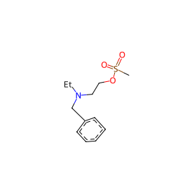 CCN(CCOS(C)(=O)=O)Cc1ccccc1